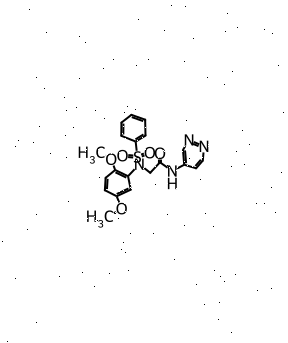 COc1ccc(OC)c(N(CC(=O)Nc2ccnnc2)S(=O)(=O)c2ccccc2)c1